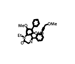 CCN1C(=O)CN=C(c2cccc(C#CCOC)c2)c2c1cc(OC)c(-c1ccccc1)c2OC